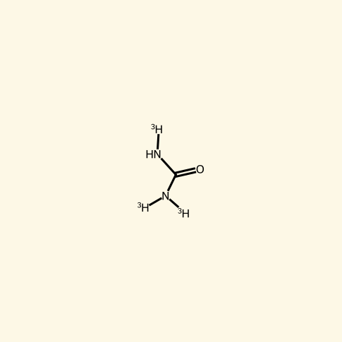 [3H]NC(=O)N([3H])[3H]